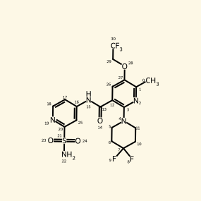 Cc1nc(N2CCC(F)(F)CC2)c(C(=O)Nc2ccnc(S(N)(=O)=O)c2)cc1OCC(F)(F)F